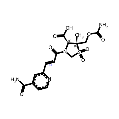 C[C@]1(COC(N)=O)[C@H](C(=O)O)N(C(=O)/C=C/c2cc(C(N)=O)ccn2)CS1(=O)=O